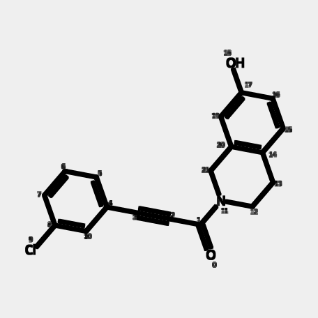 O=C(C#Cc1cccc(Cl)c1)N1CCc2ccc(O)cc2C1